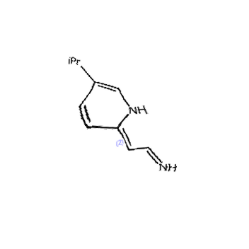 CC(C)C1=CN/C(=C\C=N)C=C1